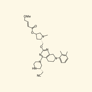 COC/C=C/C(=O)OC1C[C@@H](COc2nc3c(c(N4CCN[C@@H](CC#N)C4)n2)CCN(c2cccc(C)c2C)C3)N(C)C1